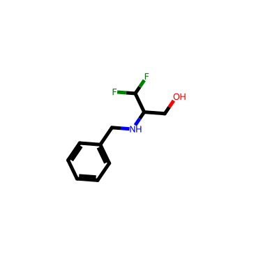 OCC(NCc1ccccc1)C(F)F